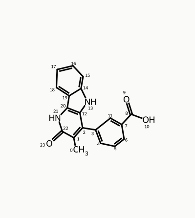 Cc1c(-c2cccc(C(=O)O)c2)c2[nH]c3ccccc3c2[nH]c1=O